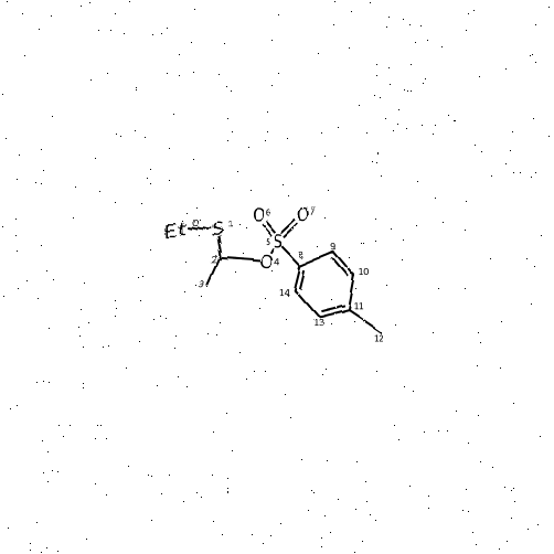 CCSC(C)OS(=O)(=O)c1ccc(C)cc1